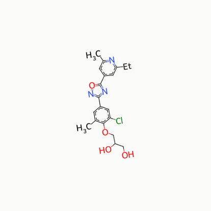 CCc1cc(-c2nc(-c3cc(C)c(OCC(O)CO)c(Cl)c3)no2)cc(C)n1